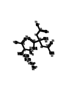 CC(O)C(=O)[O-].O.O.O=C([O-])CC(O)(CC(=O)O)C(=O)O.[Na+].[Na+]